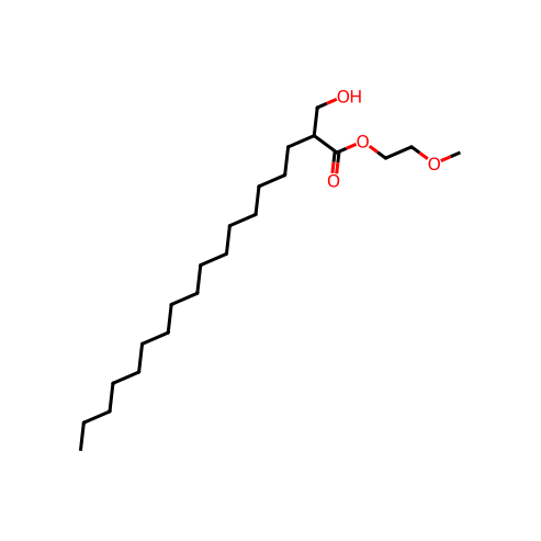 CCCCCCCCCCCCCCCCC(CO)C(=O)OCCOC